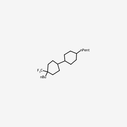 CCCCCC1CCC(C2CCC(CCCC)(C(F)(F)F)CC2)CC1